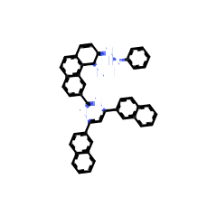 N=C1/C(=N\Nc2ccccc2)C=Cc2ccc3ccc(-c4nc(-c5ccc6ccccc6c5)cc(-c5ccc6ccccc6c5)n4)cc3c21